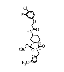 CC(C)(C)OC(=O)N1CC(NC(=O)COc2ccc(Cl)c(F)c2)CC[C@H]1C(=O)NCc1ccc(C(F)(F)F)o1